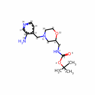 CC(C)(C)OC(=O)NCC1CN(Cc2ccncc2N)CCO1